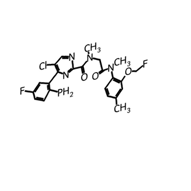 Cc1ccc(N(C)C(=O)CN(C)C(=O)c2ncc(Cl)c(-c3cc(F)ccc3P)n2)c(OCF)c1